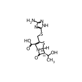 CC(O)[C@H]1C(=O)N2C(C(=O)O)=C(CSc3nc(N)n[nH]3)S[C@H]12